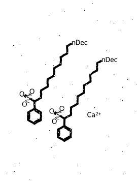 CCCCCCCCCCCCCCCCCCCCC(c1ccccc1)S(=O)(=O)[O-].CCCCCCCCCCCCCCCCCCCCC(c1ccccc1)S(=O)(=O)[O-].[Ca+2]